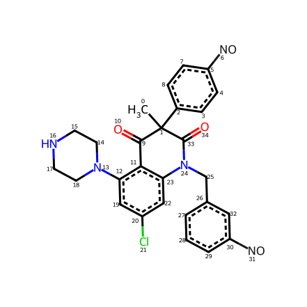 CC1(c2ccc(N=O)cc2)C(=O)c2c(N3CCNCC3)cc(Cl)cc2N(Cc2cccc(N=O)c2)C1=O